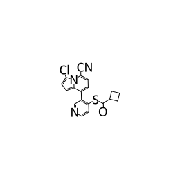 N#Cc1ccc(-c2cnccc2SC(=O)C2CCC2)c2ccc(Cl)n12